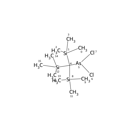 C[Si](C)(C)C([As](Cl)Cl)([Si](C)(C)C)[Si](C)(C)C